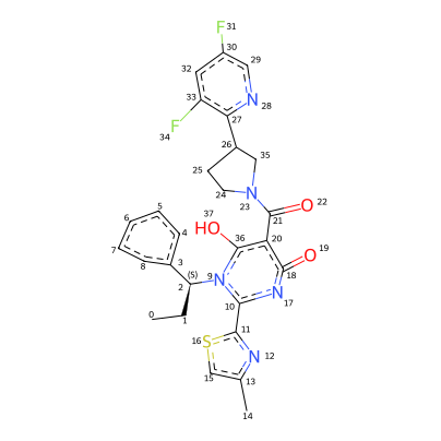 CC[C@@H](c1ccccc1)n1c(-c2nc(C)cs2)nc(=O)c(C(=O)N2CCC(c3ncc(F)cc3F)C2)c1O